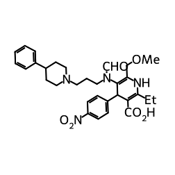 CCC1=C(C(=O)O)C(c2ccc([N+](=O)[O-])cc2)C(N(C=O)CCCN2CCC(c3ccccc3)CC2)=C(COC)N1